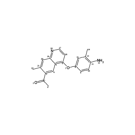 CC(=O)c1cc2c(Oc3ccc(N)c(C)c3)ccnc2cc1C